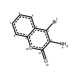 Nc1c(Br)c2ccccc2oc1=O